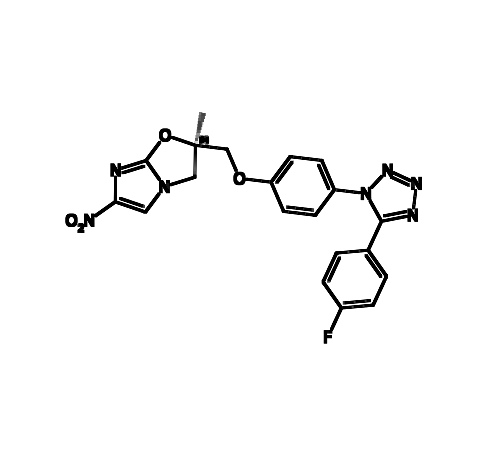 C[C@]1(COc2ccc(-n3nnnc3-c3ccc(F)cc3)cc2)Cn2cc([N+](=O)[O-])nc2O1